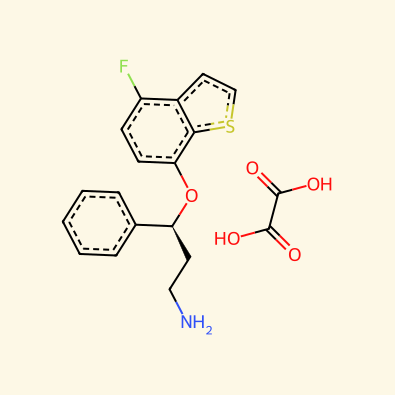 NCC[C@H](Oc1ccc(F)c2ccsc12)c1ccccc1.O=C(O)C(=O)O